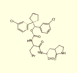 CC(C)CC(NC(=O)OC(c1cccc(Cl)c1)C1(c2cccc(Cl)c2)CCCC1)C(=O)NC(C=O)CC1CCNC1=O